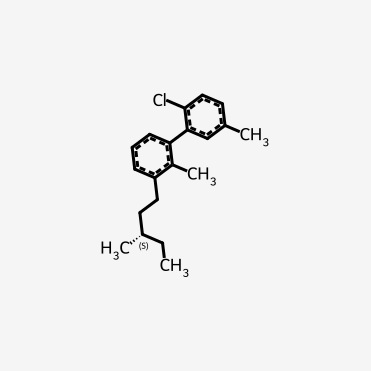 CC[C@H](C)CCc1cccc(-c2cc(C)ccc2Cl)c1C